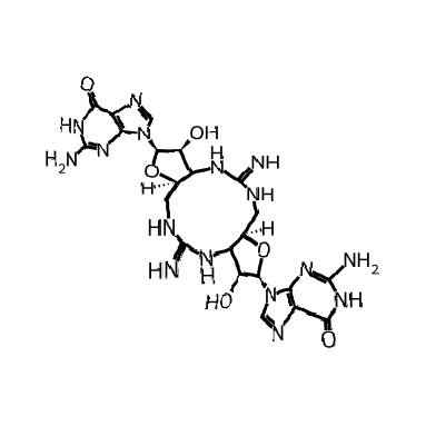 N=C1NC[C@H]2O[C@@H](n3cnc4c(=O)[nH]c(N)nc43)[C@@H](O)C2NC(=N)NC[C@H]2O[C@@H](n3cnc4c(=O)[nH]c(N)nc43)[C@@H](O)C2N1